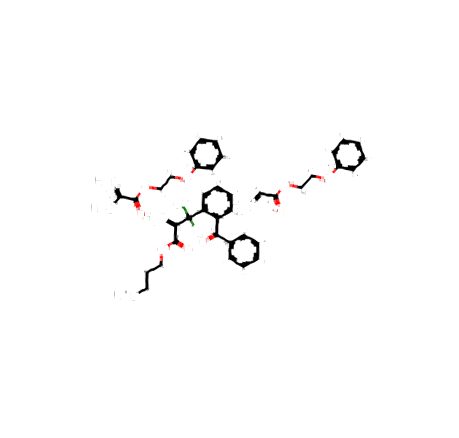 C=C(C(=O)OCCCC)C(Cl)(Cl)c1ccccc1C(=O)c1ccccc1.C=C(C)C(=O)OCCOc1ccccc1.C=CC(=O)OCCOc1ccccc1